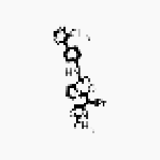 Cc1nc(C(C(=O)N2CCC[C@H]2C(=O)NCc2ccc(-c3scnc3C)cc2)C(C)C)cs1